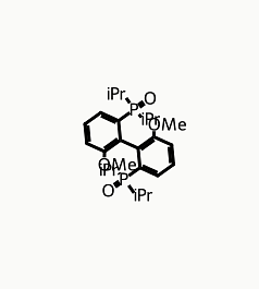 COc1cccc(P(=O)(C(C)C)C(C)C)c1-c1c(OC)cccc1P(=O)(C(C)C)C(C)C